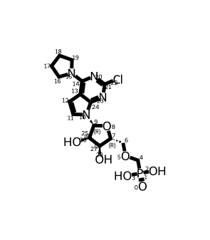 O=P(O)(O)COC[C@H]1O[C@@H](n2ccc3c(N4CCCC4)nc(Cl)nc32)[C@H](O)[C@@H]1O